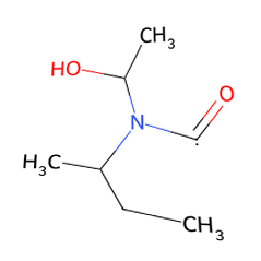 CCC(C)N([C]=O)C(C)O